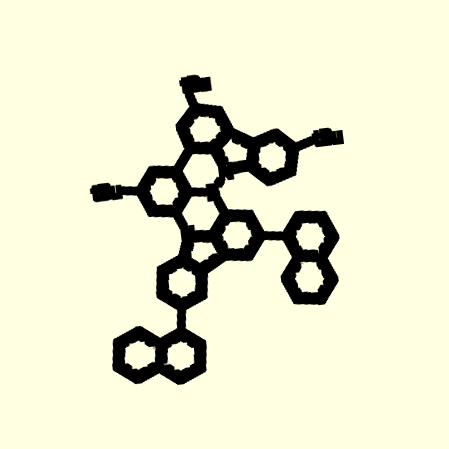 CC(C)(C)c1cc2c3c(c1)-n1c4ccc(-c5cccc6ccccc56)cc4c4cc(-c5cccc6ccccc56)cc(c41)B3n1c3ccc(C(C)(C)C)cc3c3cc(C(C)(C)C)cc-2c31